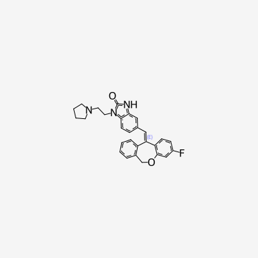 O=c1[nH]c2cc(/C=C3\c4ccccc4COc4cc(F)ccc43)ccc2n1CCN1CCCC1